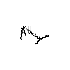 CCCCCCC(C)(CCCC)CCCOCCOCCNC(C)C(C)(CCCC)CCCCCC